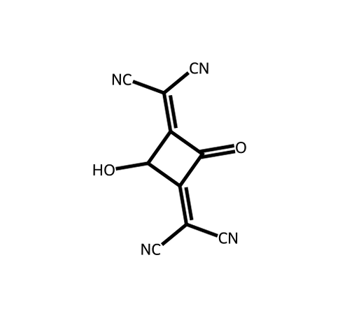 N#CC(C#N)=C1C(=O)C(=C(C#N)C#N)C1O